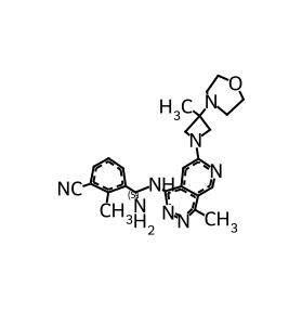 Cc1c(C#N)cccc1[C@@H](N)Nc1nnc(C)c2cnc(N3CC(C)(N4CCOCC4)C3)cc12